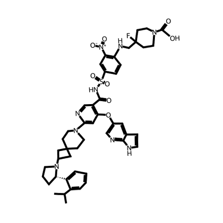 CC(C)c1ccccc1[C@@H]1CCCN1C1CC2(CCN(c3cc(Oc4cnc5[nH]ccc5c4)c(C(=O)NS(=O)(=O)c4ccc(NCC5(F)CCN(C(=O)O)CC5)c([N+](=O)[O-])c4)cn3)CC2)C1